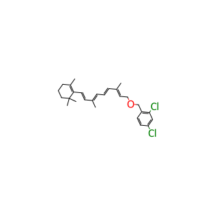 CC(C=CC1=C(C)CCCC1(C)C)=CC=CC(C)=CCOCc1ccc(Cl)cc1Cl